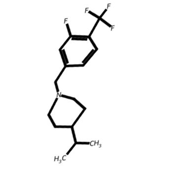 CC(C)C1CCN(Cc2ccc(C(F)(F)F)c(F)c2)CC1